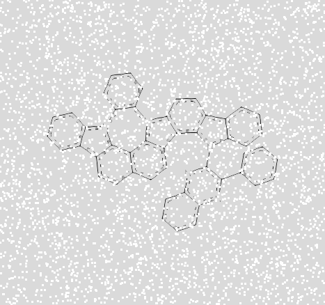 c1ccc(-c2nc3ccccc3nc2-n2c3ccccc3c3ccc4c(c5ccc6ccc7c8ccccc8n8c9ccccc9n4c5c6c78)c32)cc1